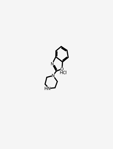 Cl.c1ccc2oc(N3CCNCC3)nc2c1